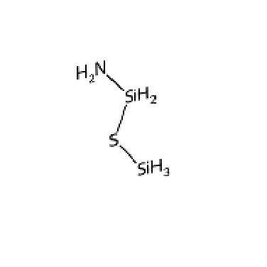 N[SiH2]S[SiH3]